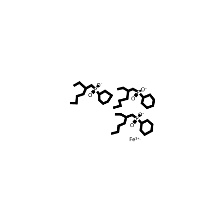 CCCCC(CC)CP(=O)([O-])C1CCCCC1.CCCCC(CC)CP(=O)([O-])C1CCCCC1.CCCCC(CC)CP(=O)([O-])C1CCCCC1.[Fe+3]